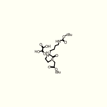 CC(C)(C)OC(=O)CN1CCN[C@@H](CCCCNC(=O)OC(C)(C)C)C1=O.O=C(O)C(=O)O